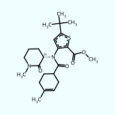 COC(=O)c1sc(C(C)(C)C)cc1N(C(=O)C1CC=C(C)CC1)[C@H]1CCCN(C)C1=O